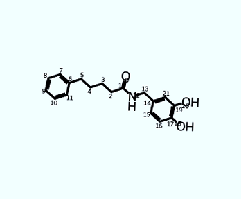 O=C(CCCCc1ccccc1)NCc1ccc(O)c(O)c1